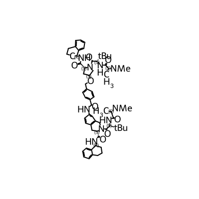 CN[C@@H](C)C(=O)N[C@H](C(=O)N1Cc2cc(NC(=O)c3ccc(CO[C@H]4C[C@@H](C(=O)N[C@@H]5CCCc6ccccc65)N(C(=O)[C@@H](NC(=O)[C@H](C)NC)C(C)(C)C)C4)cc3)ccc2C[C@H]1C(=O)N[C@@H]1CCCc2ccccc21)C(C)(C)C